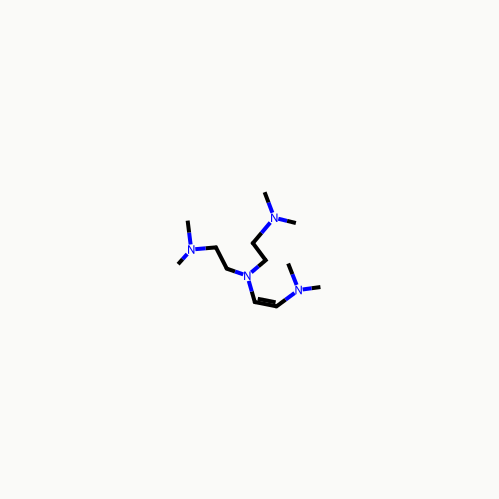 CN(C)/C=C\N(CCN(C)C)CCN(C)C